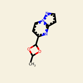 CC1OC(c2ccn3nccc3n2)O1